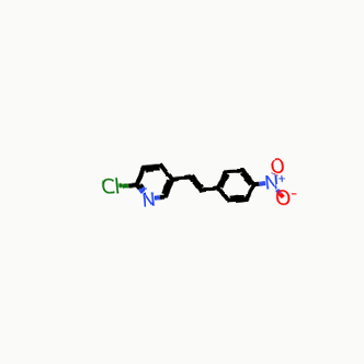 O=[N+]([O-])c1ccc(C=Cc2ccc(Cl)nc2)cc1